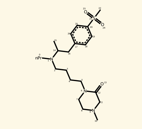 CCCN(CCCCN1CCN(C)CC1=O)C(C)Cc1ccc(S(C)(=O)=O)cc1